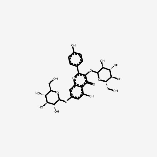 O=c1c(OC2O[C@@H](CO)[C@H](O)[C@@H](O)[C@@H]2O)c(-c2ccc(O)cc2)oc2cc(OC3O[C@H](CO)[C@@H](O)[C@H](O)[C@H]3O)cc(O)c12